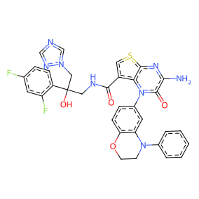 Nc1nc2scc(C(=O)NCC(O)(Cn3cncn3)c3ccc(F)cc3F)c2n(-c2ccc3c(c2)N(c2ccccc2)CCO3)c1=O